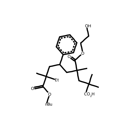 CCCCOC(=O)C(C)(CC)CC(CC(C)(CC(C)(C)C(=O)O)C(=O)OCCO)c1ccccc1